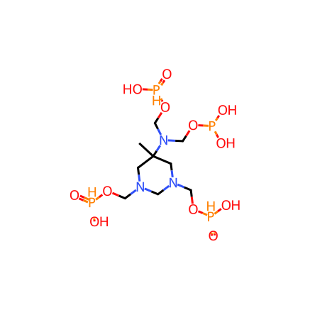 CC1(N(COP(O)O)CO[PH](=O)O)CN(CO[PH](=O)O)CN(CO[PH](=O)O)C1